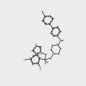 Cc1ccc(-c2ccc(NC3CCN(CC(O)(Cn4cncn4)c4ccc(F)cc4F)CC3)cc2)cc1